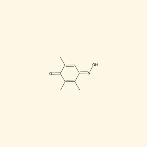 CC1=CC(=NO)C(C)=C(C)C1=O